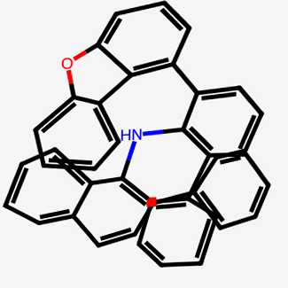 c1ccc(-c2cccc(-c3cccc4oc5ccccc5c34)c2Nc2c(-c3ccccc3)ccc3ccccc23)cc1